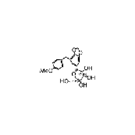 COc1ccc(Cc2cc([C@H]3O[C@@H](CO)[C@H](O)[C@H](O)[C@@H]3O)cc3c2OCO3)cc1